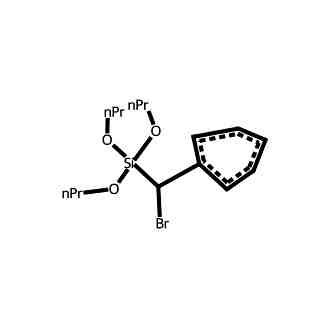 CCCO[Si](OCCC)(OCCC)C(Br)c1ccccc1